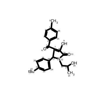 Cc1ccc(C(=O)C2=C(O)C(=O)N(CC(C)O)C2c2ccc(C(C)(C)C)cc2)cc1